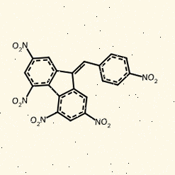 O=[N+]([O-])c1ccc(C=C2c3cc([N+](=O)[O-])cc([N+](=O)[O-])c3-c3c2cc([N+](=O)[O-])cc3[N+](=O)[O-])cc1